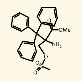 COC(=O)C(N)(COS(C)(=O)=O)C(c1ccccc1)(c1ccccc1)c1ccccc1